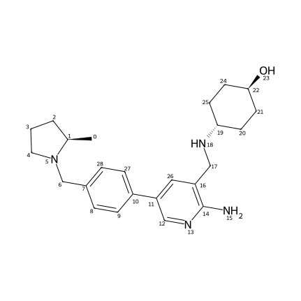 C[C@@H]1CCCN1Cc1ccc(-c2cnc(N)c(CN[C@H]3CC[C@H](O)CC3)c2)cc1